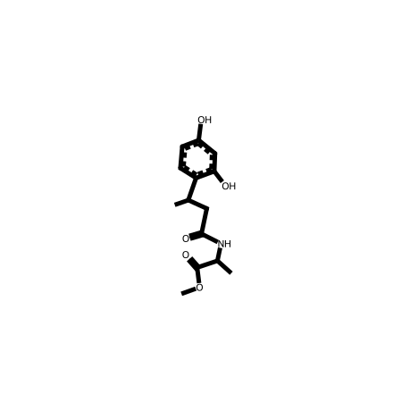 COC(=O)C(C)NC(=O)CC(C)c1ccc(O)cc1O